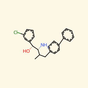 CC(Cc1ccc(-c2ccccc2)cc1)[C@@H](N)[C@H](O)c1cccc(Cl)c1